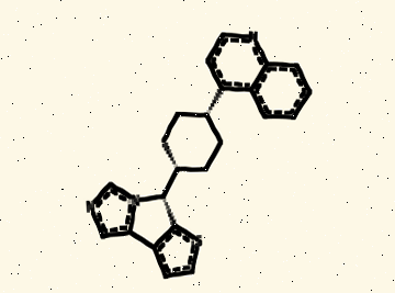 c1ccc2c(c1)nccc2[C@H]1CC[C@@H]([C@@H]2c3sccc3-c3cncn32)CC1